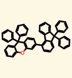 c1ccc(C2(c3ccccc3)c3ccccc3Oc3cc(-c4cccc5c4-c4ccccc4C5(c4ccccc4)c4ccccc4)ccc32)cc1